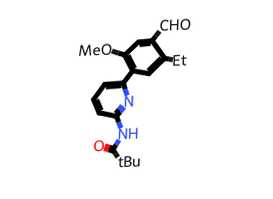 CCc1cc(-c2cccc(NC(=O)C(C)(C)C)n2)c(OC)cc1C=O